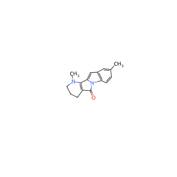 Cc1ccc2c(c1)cc1n2C(=O)C2=C1N(C)CCC2